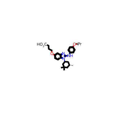 CC(C)Oc1ccc(Nc2nc3cc(OCCCC(=O)O)ccc3n2[C@H]2C[C@H](C)CC(C)(C)C2)cc1